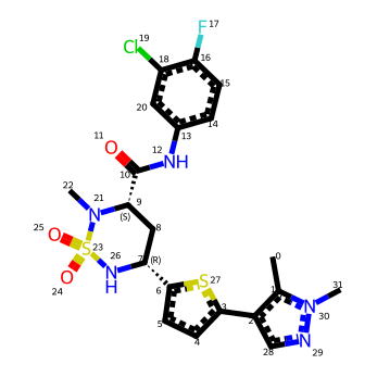 Cc1c(-c2ccc([C@H]3C[C@@H](C(=O)Nc4ccc(F)c(Cl)c4)N(C)S(=O)(=O)N3)s2)cnn1C